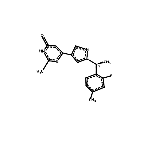 Cc1ccc([C@H](C)n2cc(-c3cc(=O)[nH]c(C)n3)cn2)c(F)c1